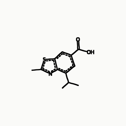 Cc1nc2c(C(C)C)cc(C(=O)O)cc2s1